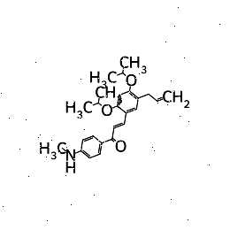 C=CCc1cc(/C=C/C(=O)c2ccc(NC)cc2)c(OC(C)C)cc1OC(C)C